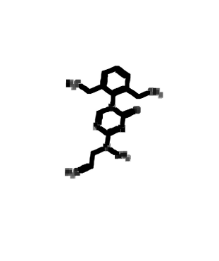 C=CCN(N)c1ncn(-c2c(CC)cccc2CC)c(=O)n1